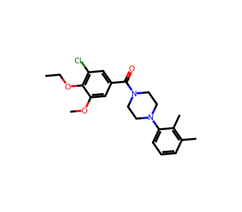 CCOc1c(Cl)cc(C(=O)N2CCN(c3cccc(C)c3C)CC2)cc1OC